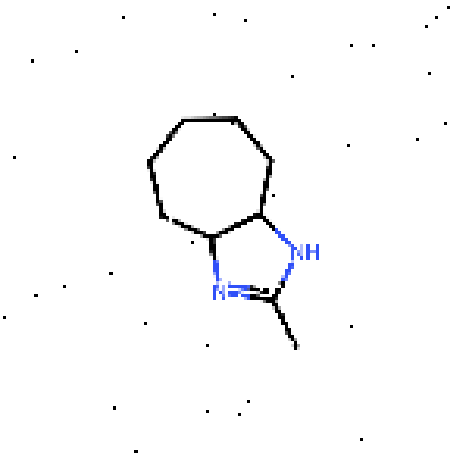 CC1=NC2CCCCCC2N1